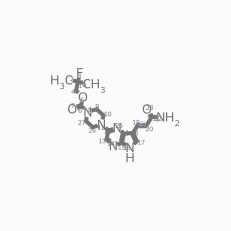 CC(C)(F)COC(=O)N1CCN(c2cnc3[nH]cc(/C=C/C(N)=O)c3n2)CC1